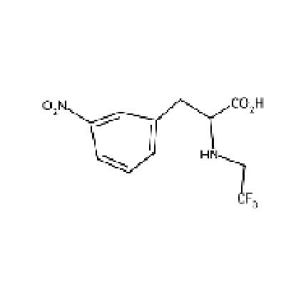 O=C(O)C(Cc1cccc([N+](=O)[O-])c1)NCC(F)(F)F